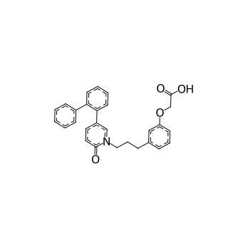 O=C(O)COc1cccc(CCCn2cc(-c3ccccc3-c3ccccc3)ccc2=O)c1